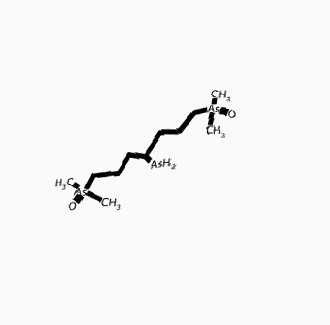 C[As](C)(=O)CCCC([AsH2])CCC[As](C)(C)=O